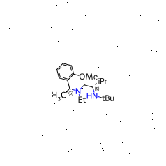 CCN(C[C@@H](NC(C)(C)C)C(C)C)[C@@H](C)c1ccccc1OC